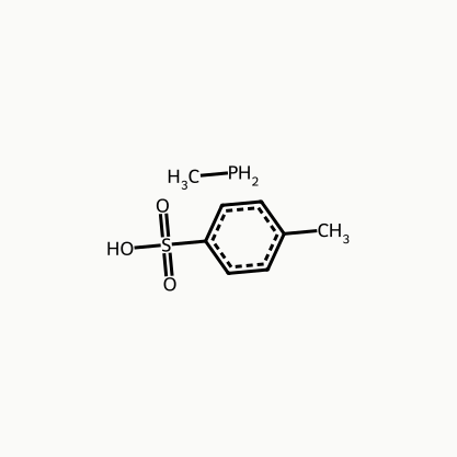 CP.Cc1ccc(S(=O)(=O)O)cc1